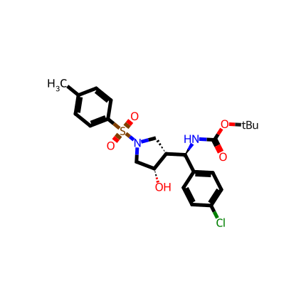 Cc1ccc(S(=O)(=O)N2C[C@H]([C@@H](NC(=O)OC(C)(C)C)c3ccc(Cl)cc3)[C@H](O)C2)cc1